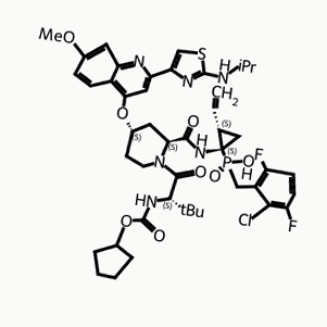 C=C[C@@H]1C[C@]1(NC(=O)[C@@H]1C[C@@H](Oc2cc(-c3csc(NC(C)C)n3)nc3cc(OC)ccc23)CCN1C(=O)[C@@H](NC(=O)OC1CCCC1)C(C)(C)C)P(=O)(O)Cc1c(F)ccc(F)c1Cl